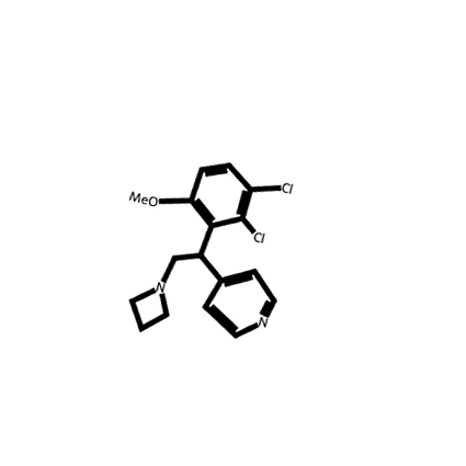 COc1ccc(Cl)c(Cl)c1C(CN1CCC1)c1ccncc1